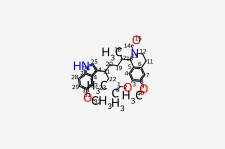 CCOc1cc2c(cc1OC)CCN(C=O)C2C(C)CCC(CC)c1c[nH]c2ccc(OC)cc12